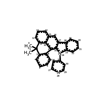 CC1(C)c2ccccc2-c2c3c1cccc3cc1c3ccccc3n(-c3ccncc3)c21